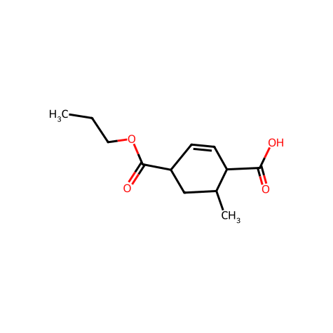 CCCOC(=O)C1C=CC(C(=O)O)C(C)C1